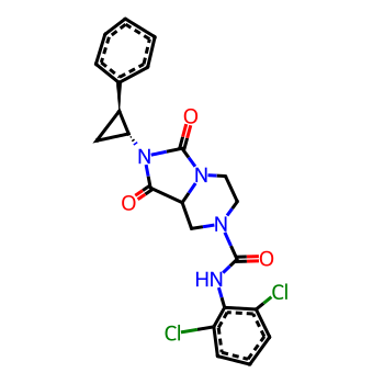 O=C(Nc1c(Cl)cccc1Cl)N1CCN2C(=O)N([C@@H]3C[C@H]3c3ccccc3)C(=O)C2C1